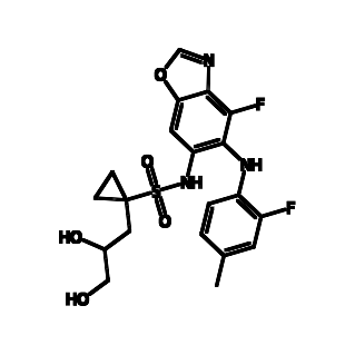 Cc1ccc(Nc2c(NS(=O)(=O)C3(CC(O)CO)CC3)cc3ocnc3c2F)c(F)c1